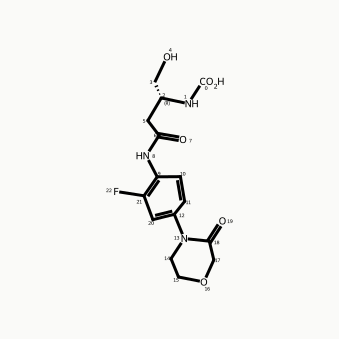 O=C(O)N[C@@H](CO)CC(=O)Nc1ccc(N2CCOCC2=O)cc1F